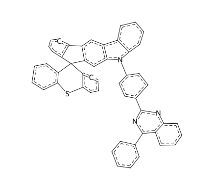 c1ccc(-c2nc(-c3ccc(-n4c5ccccc5c5cc6c(cc54)C4(c5ccccc5Sc5ccccc54)c4ccccc4-6)cc3)nc3ccccc23)cc1